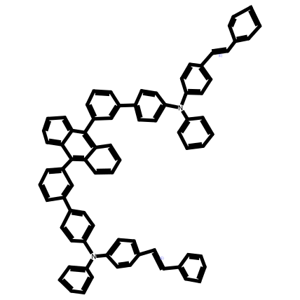 C(=C\c1ccc(N(c2ccccc2)c2ccc(-c3cccc(-c4c5ccccc5c(-c5cccc(-c6ccc(N(c7ccccc7)c7ccc(/C=C/c8ccccc8)cc7)cc6)c5)c5ccccc45)c3)cc2)cc1)/c1ccccc1